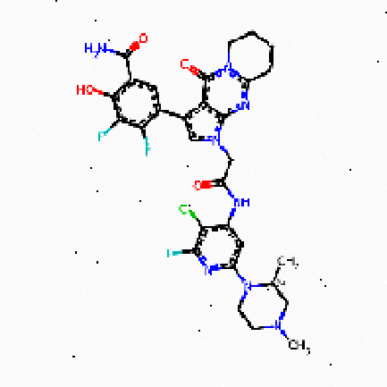 C[C@H]1CN(C)CCN1c1cc(NC(=O)Cn2cc(-c3cc(C(N)=O)c(O)c(F)c3F)c3c(=O)n4c(nc32)CCCC4)c(Cl)c(F)n1